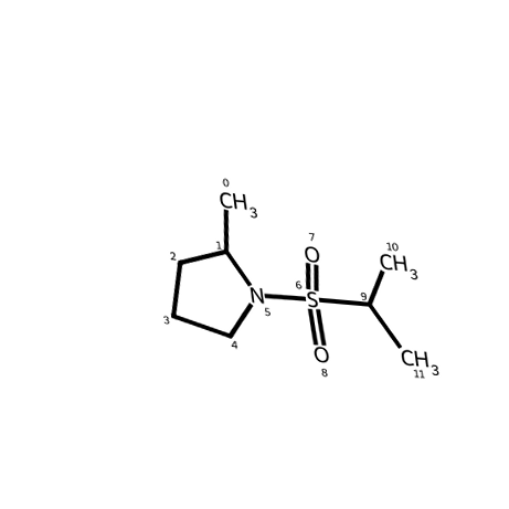 CC1CCCN1S(=O)(=O)C(C)C